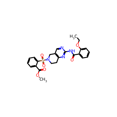 CCOc1ccccc1C(=O)Nc1ncc2c(n1)CCN(S(=O)(=O)c1ccccc1C(=O)OC)C2